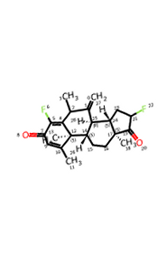 C=C1C(C)C2=C(F)C(=O)C=C(C)[C@]2(C)[C@H]2CC[C@]3(C)C(=O)C(F)C[C@H]3[C@H]12